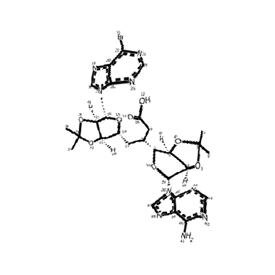 CC1(C)O[C@@H]2[C@H](O1)[C@@H](C(CC(=O)O)C[C@H]1O[C@@H](n3cnc4c(Br)ncnc43)[C@@H]3OC(C)(C)O[C@@H]31)O[C@H]2n1cnc2c(N)ncnc21